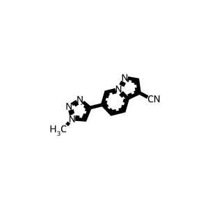 Cn1cc(-c2ccc3c(C#N)cnn3c2)nn1